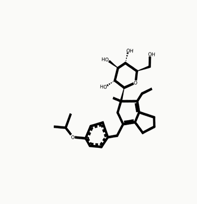 CCC1=C2CCCC2=C(Cc2ccc(OC(C)C)cc2)CC1(C)[C@@H]1O[C@H](CO)[C@@H](O)[C@H](O)[C@H]1O